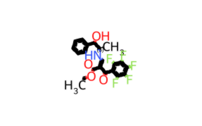 CCOC(=O)C(=CN[C@@H](C)C(O)c1ccccc1)C(=O)c1c(F)c(F)c(F)c(F)c1F